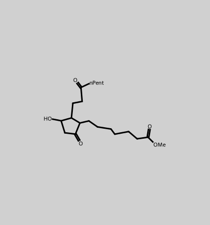 CCCCCC(=O)CCC1C(O)CC(=O)C1CCCCCCC(=O)OC